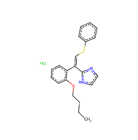 CCCCOc1ccccc1C(=CSc1ccccc1)c1ncc[nH]1.Cl